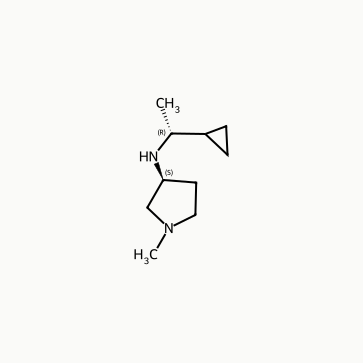 C[C@@H](N[C@H]1CCN(C)C1)C1CC1